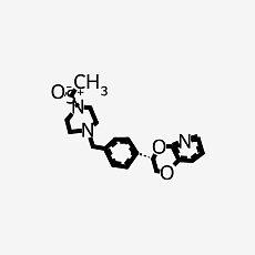 C[S+]([O-])N1CCN(Cc2ccc([C@H]3COc4cccnc4O3)cc2)CC1